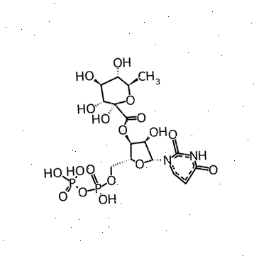 C[C@H]1O[C@@](O)(C(=O)O[C@H]2[C@@H](O)[C@H](n3ccc(=O)[nH]c3=O)O[C@@H]2COP(=O)(O)OP(=O)(O)O)[C@H](O)[C@@H](O)[C@@H]1O